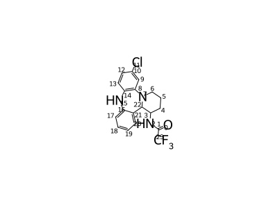 O=C(NC1CCCN2c3cc(Cl)ccc3Nc3ccccc3C12)C(F)(F)F